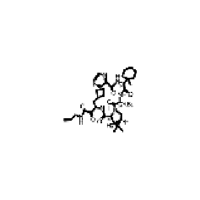 C=CCNC(=O)C(=O)C(CC1CCC1)NC(=O)[C@@H]1[C@@H]2[C@H](CN1C(=O)[C@@H](NC(=O)[C@@H](NC(=O)c1cnccn1)C1(C)CCCCC1)C(C)(C)C)C2(C)C